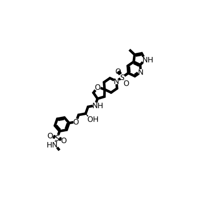 CNS(=O)(=O)c1cccc(OC[C@@H](O)CNC2COC3(CCN(S(=O)(=O)c4cnc5[nH]cc(C)c5c4)CC3)C2)c1